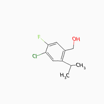 CC(C)c1cc(Cl)c(F)cc1CO